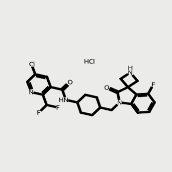 Cl.O=C(NC1CCC(CN2C(=O)C3(CNC3)c3c(F)cccc32)CC1)c1cc(Cl)cnc1C(F)F